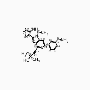 CCn1c(-c2nonc2N)nc2c(C#CC(C)(C)O)nc(-c3cccc(CN)c3)cc21